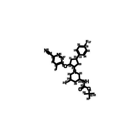 Cc1cc(C#N)nnc1OC1CC(c2ccc(F)cc2)CC1N1CC(F)CC(NC(=O)OC(C)(C)C)C1